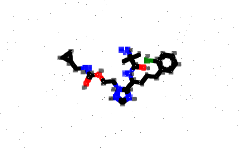 CC(C)(N)C(=O)NC(CCCc1ccccc1Br)c1ncnn1CCOC(=O)NCC1CC1